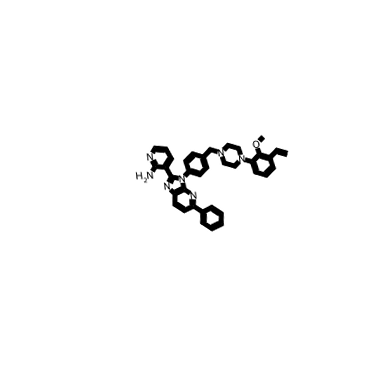 C=Cc1cccc(N2CCN(Cc3ccc(-n4c(-c5cccnc5N)nc5ccc(-c6ccccc6)nc54)cc3)CC2)c1OC